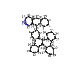 c1ccc2c(-c3ccc4c5ccccc5c5c6ccccc6c6ccccc6c5c4c3)c3cnccc3cc2c1